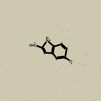 O=[C]c1cc2cc(Cl)ccc2[nH]1